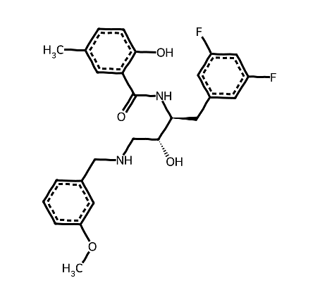 COc1cccc(CNC[C@@H](O)[C@H](Cc2cc(F)cc(F)c2)NC(=O)c2cc(C)ccc2O)c1